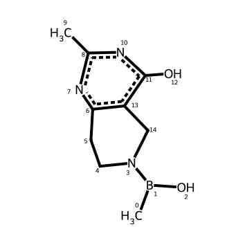 CB(O)N1CCc2nc(C)nc(O)c2C1